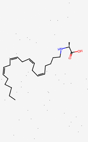 CCCCC/C=C\C/C=C\C/C=C\C/C=C\CCCCN[C@@H](C)C(=O)O